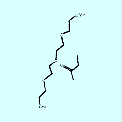 CCC(C)=O.COCCOCCOCCOCCOC